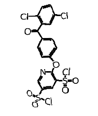 O=C(c1ccc(Oc2ncc(S(=O)(=O)Cl)cc2S(=O)(=O)Cl)cc1)c1cc(Cl)ccc1Cl